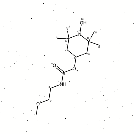 COCCNC(=O)OC1CC(C)(C)N(O)C(C)(C)C1